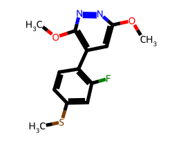 COc1cc(-c2ccc(SC)cc2F)c(OC)nn1